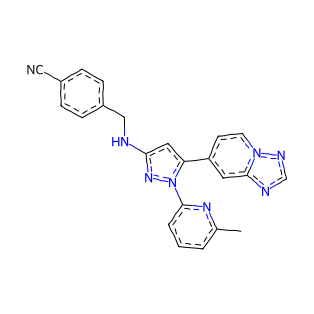 Cc1cccc(-n2nc(NCc3ccc(C#N)cc3)cc2-c2ccn3ncnc3c2)n1